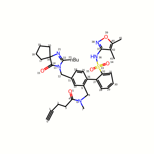 C#CCCC(=O)N(C)Cc1cc(CN2C(=O)C3(CCCC3)N=C2CCCC)ccc1-c1ccccc1S(=O)(=O)Nc1noc(C)c1C